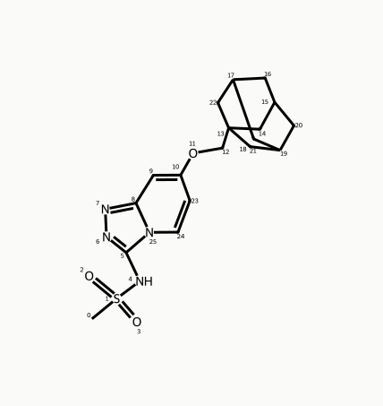 CS(=O)(=O)Nc1nnc2cc(OCC34CC5CC(CC(C5)C3)C4)ccn12